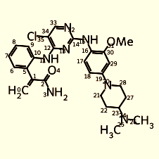 C=C(C(N)=O)c1ccccc1Nc1nc(Nc2ccc(N3CCC(N(C)C)CC3)cc2OC)ncc1Cl